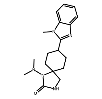 CN(C)N1C(=O)NCC12CCC(c1nc3ccccc3n1C)CC2